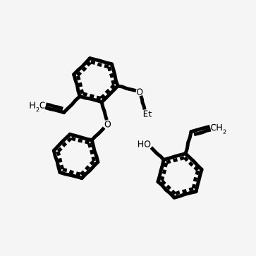 C=Cc1cccc(OCC)c1Oc1ccccc1.C=Cc1ccccc1O